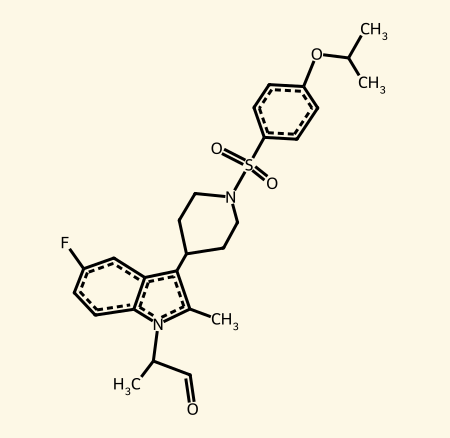 Cc1c(C2CCN(S(=O)(=O)c3ccc(OC(C)C)cc3)CC2)c2cc(F)ccc2n1C(C)C=O